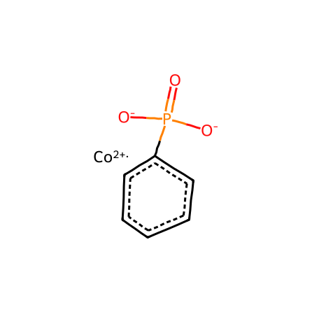 O=P([O-])([O-])c1ccccc1.[Co+2]